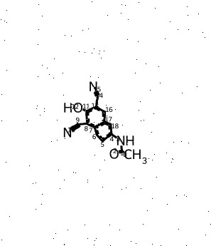 CC(=O)Nc1ccc2c(C#N)c(O)c(C#N)cc2c1